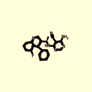 C[C@@H](Nc1ncnc(N)c1C#N)c1cnc2cccc(F)c2c1-c1ccccc1